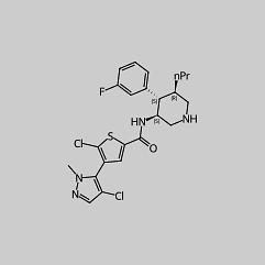 CCC[C@H]1CNC[C@@H](NC(=O)c2cc(-c3c(Cl)cnn3C)c(Cl)s2)[C@@H]1c1cccc(F)c1